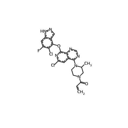 C=CC(=O)N1CCN(c2ncnc3c(Oc4c(Cl)c(F)cc5[nH]ncc45)nc(Cl)cc23)C(C)C1